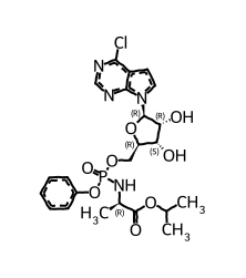 CC(C)OC(=O)[C@@H](C)NP(=O)(OC[C@H]1O[C@@H](n2ccc3c(Cl)ncnc32)[C@H](O)[C@@H]1O)Oc1ccccc1